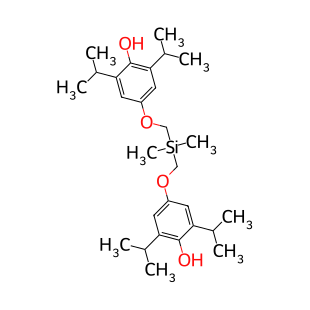 CC(C)c1cc(OC[Si](C)(C)COc2cc(C(C)C)c(O)c(C(C)C)c2)cc(C(C)C)c1O